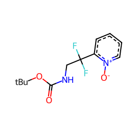 CC(C)(C)OC(=O)NCC(F)(F)c1cccc[n+]1[O-]